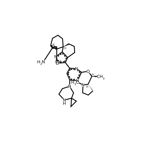 C[C@H](Oc1nc(-c2onc3c2CCC[C@@]32CCCc3sc(N)c(C#N)c32)cc(N2CCNC3(CC3)C2)n1)[C@@H]1CCCN1C